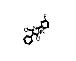 Fc1ccc2nn3c(Cl)c(-c4ccccc4)c(Cl)nc3c2c1